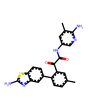 Cc1ccc(-c2ccc3sc(N)nc3c2)c(C(=O)C(=O)Nc2cnc(N)c(C)c2)c1